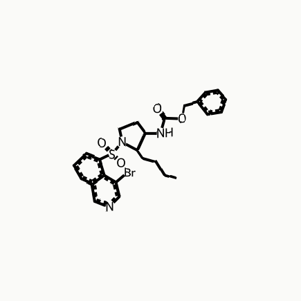 CCCCC1C(NC(=O)OCc2ccccc2)CCN1S(=O)(=O)c1cccc2cncc(Br)c12